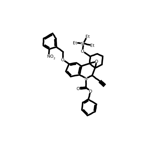 C#CC1N(C(=O)Oc2ccccc2)c2ccc(OCc3ccccc3[N+](=O)[O-])cc2C23OC12CCCC3O[Si](CC)(CC)CC